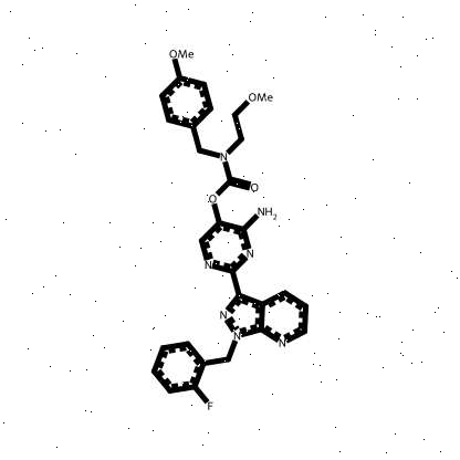 COCCN(Cc1ccc(OC)cc1)C(=O)Oc1cnc(-c2nn(Cc3ccccc3F)c3ncccc23)nc1N